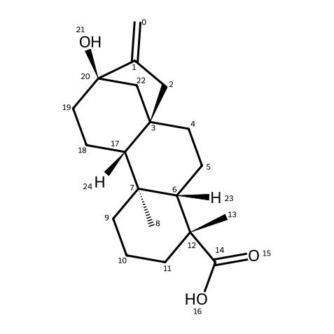 C=C1C[C@@]23CC[C@H]4[C@@](C)(CCC[C@@]4(C)C(=O)O)[C@@H]2CC[C@@]1(O)C3